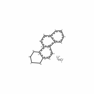 [Li+].[OH-].c1ccc2c(c1)ccc1c3c(ccc12)CCCC3